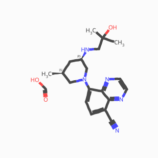 C[C@H]1C[C@@H](NCC(C)(C)O)CN(c2ccc(C#N)c3nccnc23)C1.O=CO